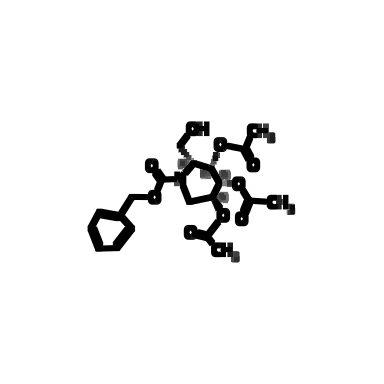 CC(=O)O[C@@H]1[C@H](OC(C)=O)[C@@H](OC(C)=O)CN(C(=O)OCc2ccccc2)[C@@H]1CO